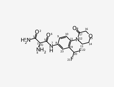 NC(=O)[C@H](N)C(=O)Nc1ccc(N2CCOCC2=O)c(C(F)F)c1